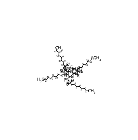 CCCCCCCCS(=O)(=O)N(F)C1=NC(N(F)S(=O)(=O)CCCCCCCC)(N(F)S(=O)(=O)CCCCCCCC)N(CC)C(N(F)S(=O)(=O)CCCCCCCC)=N1